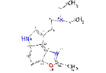 CCN(CC)CCc1c[nH]c2ccc3oc(C)nc3c12